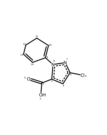 O=C(O)c1cc(Cl)nn1C1=CCCC=C1